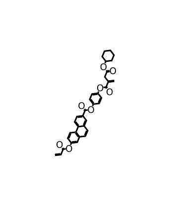 C=CC(=O)Oc1ccc2c(ccc3cc(C(=O)Oc4ccc(OC(=O)C(=C)CC(=O)OC5CCCCC5)cc4)ccc32)c1